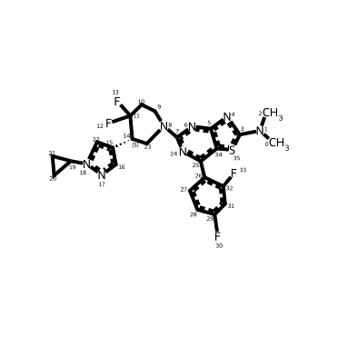 CN(C)c1nc2nc(N3CCC(F)(F)[C@@H](c4cnn(C5CC5)c4)C3)nc(-c3ccc(F)cc3F)c2s1